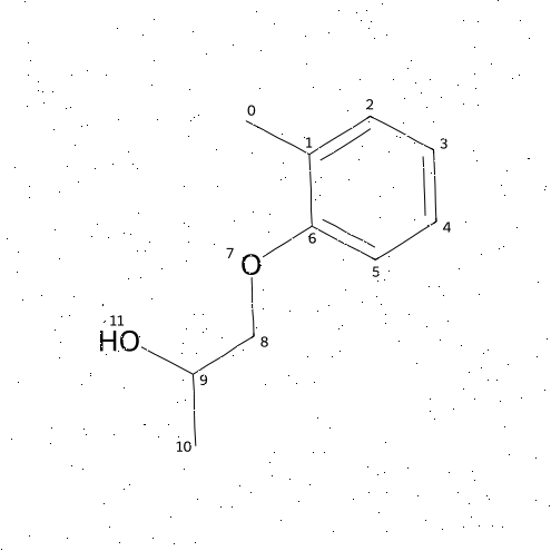 Cc1ccccc1OCC(C)O